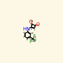 O=c1cc(Nc2cccc(C(F)(F)F)c2)c1=O